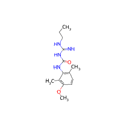 CCCNC(=N)NC(=O)Nc1c(C)ccc(OC)c1C